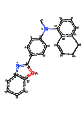 CN(c1ccc(-c2nc3ccccc3o2)cc1)c1cccc2c1C=CCC2